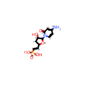 Nc1ccn(C2OC(C=CP(=O)(O)O)CC2O)c(=O)c1